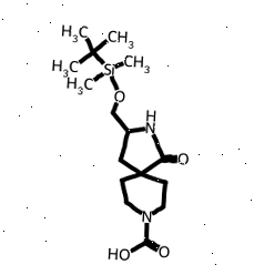 CC(C)(C)[Si](C)(C)OCC1CC2(CCN(C(=O)O)CC2)C(=O)N1